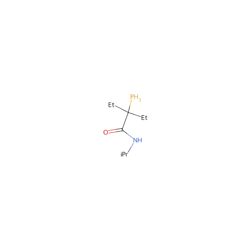 CCC(P)(CC)C(=O)NC(C)C